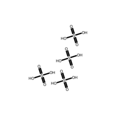 O=S(=O)(O)O.O=S(=O)(O)O.O=S(=O)(O)O.O=S(=O)(O)O